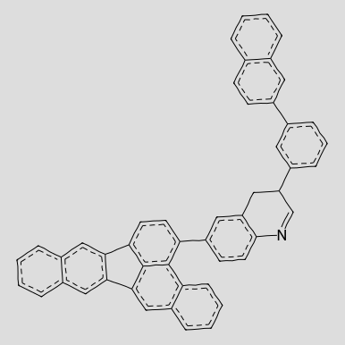 C1=Nc2ccc(-c3ccc4c5c(cc6ccccc6c35)-c3cc5ccccc5cc3-4)cc2CC1c1cccc(-c2ccc3ccccc3c2)c1